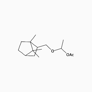 CC(=O)OC(C)OCC1CC2CCC1(C)C2(C)C